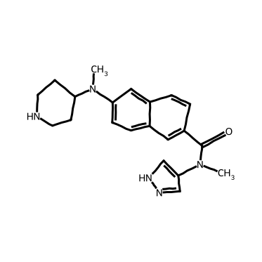 CN(C(=O)c1ccc2cc(N(C)C3CCNCC3)ccc2c1)c1cn[nH]c1